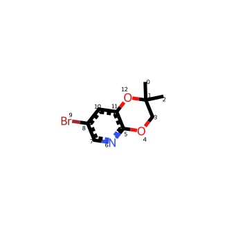 CC1(C)COc2ncc(Br)cc2O1